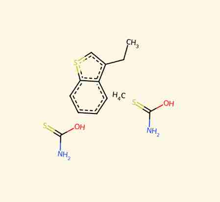 C.CCc1csc2ccccc12.NC(O)=S.NC(O)=S